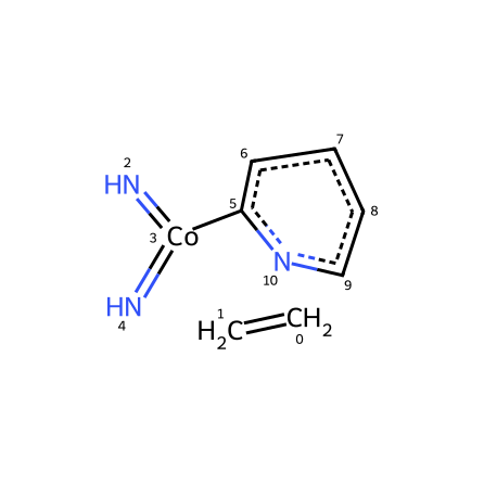 C=C.[NH]=[Co](=[NH])[c]1ccccn1